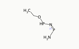 CCOP/N=P\N